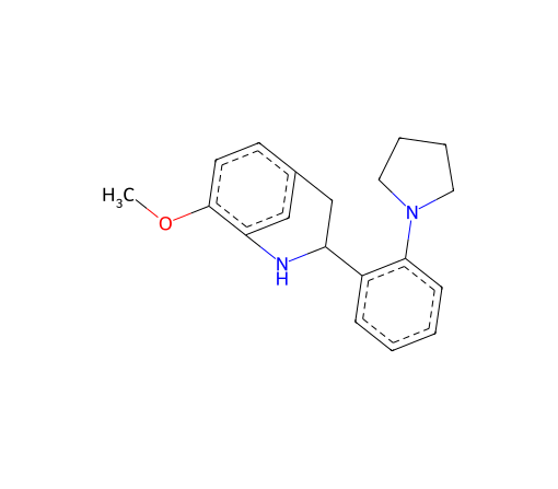 COc1ccc2cc1NC(c1ccccc1N1CCCC1)C2